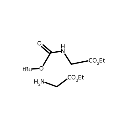 CCOC(=O)CN.CCOC(=O)CNC(=O)OC(C)(C)C